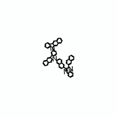 c1ccc2cc(-c3nc4ccccc4nc3-c3ccc4cc(-n5c6ccc(-n7c8ccccc8c8cc9ccccc9cc87)cc6c6cc7ccccc7cc65)ccc4c3)ccc2c1